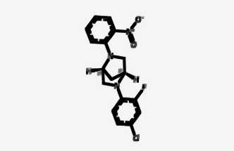 O=[N+]([O-])c1ccccc1N1C[C@H]2C[C@@H]1CN2c1ccc(Cl)cc1F